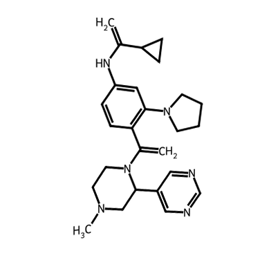 C=C(Nc1ccc(C(=C)N2CCN(C)CC2c2cncnc2)c(N2CCCC2)c1)C1CC1